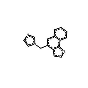 c1ccc2c(c1)cc(Cn1ccnc1)c1ccsc12